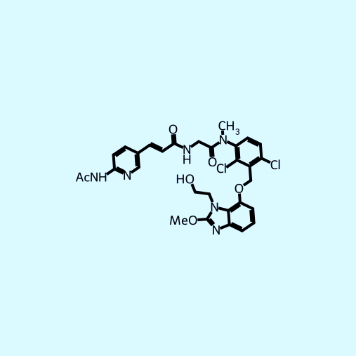 COc1nc2cccc(OCc3c(Cl)ccc(N(C)C(=O)CNC(=O)C=Cc4ccc(NC(C)=O)nc4)c3Cl)c2n1CCO